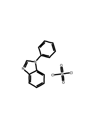 O=S(=O)(Cl)Cl.c1ccc(-n2cnc3ccccc32)cc1